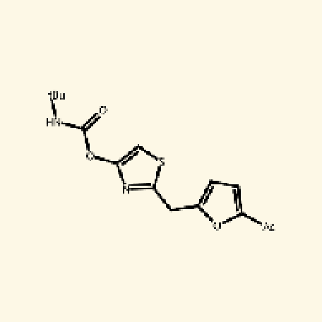 CC(=O)c1ccc(Cc2nc(OC(=O)NC(C)(C)C)cs2)o1